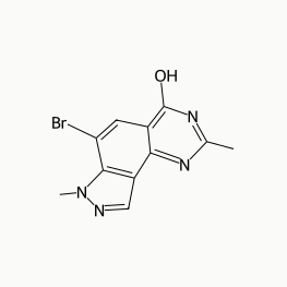 Cc1nc(O)c2cc(Br)c3c(cnn3C)c2n1